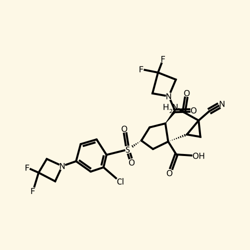 N#CC1(C(N)=O)CC1[C@]1(C(=O)O)C[C@H](S(=O)(=O)c2ccc(N3CC(F)(F)C3)cc2Cl)C[C@H]1C(=O)N1CC(F)(F)C1